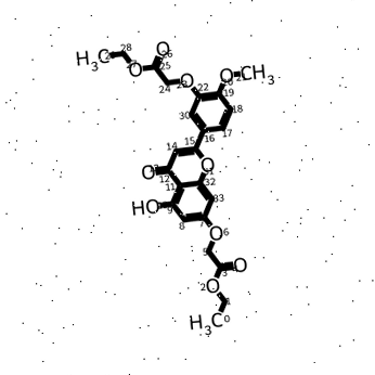 CCOC(=O)COc1cc(O)c2c(=O)cc(-c3ccc(OC)c(OCC(=O)OCC)c3)oc2c1